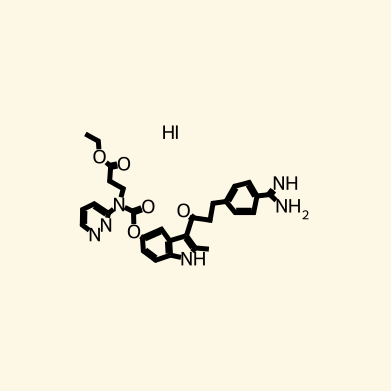 CCOC(=O)CCN(C(=O)Oc1ccc2[nH]c(C)c(C(=O)CCc3ccc(C(=N)N)cc3)c2c1)c1cccnn1.I